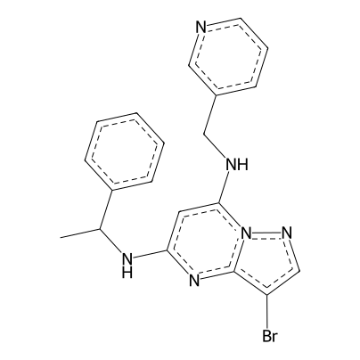 CC(Nc1cc(NCc2cccnc2)n2ncc(Br)c2n1)c1ccccc1